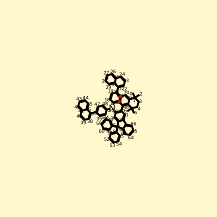 CC1(C)CCC(C)(C)c2c(-c3cc4c(cc3N(c3ccc(-c5cccc6ccccc56)cc3)c3ccc(-c5cccc6ccccc56)cc3)C(c3ccccc3)(c3ccccc3)c3ccccc3-4)cccc21